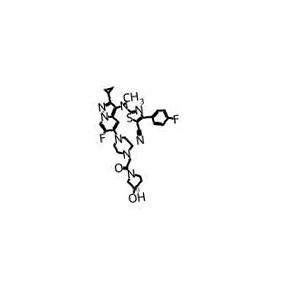 CN(c1nc(-c2ccc(F)cc2)c(C#N)s1)c1c(C2CC2)nn2cc(F)c(N3CCN(CC(=O)N4CC[C@@H](O)C4)CC3)cc12